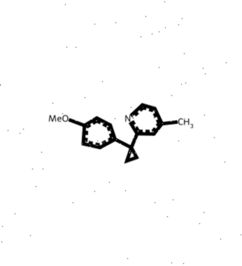 COc1ccc(C2(c3cc(C)ccn3)CC2)cc1